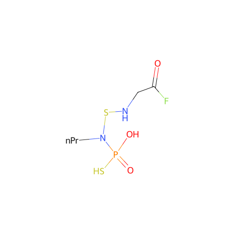 CCCN(SNCC(=O)F)P(=O)(O)S